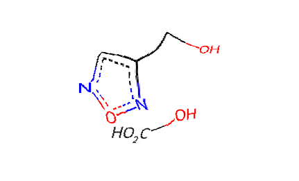 O=C(O)O.OCc1cnon1